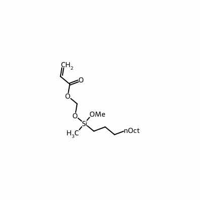 C=CC(=O)OCO[Si](C)(CCCCCCCCCCC)OC